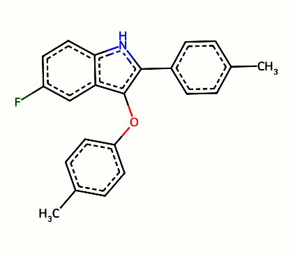 Cc1ccc(Oc2c(-c3ccc(C)cc3)[nH]c3ccc(F)cc23)cc1